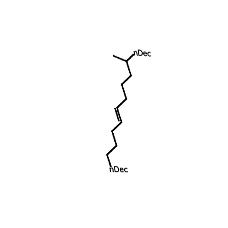 [CH2]CCCCCCCCCCCCC=CCCCC(C)CCCCCCCCC[CH2]